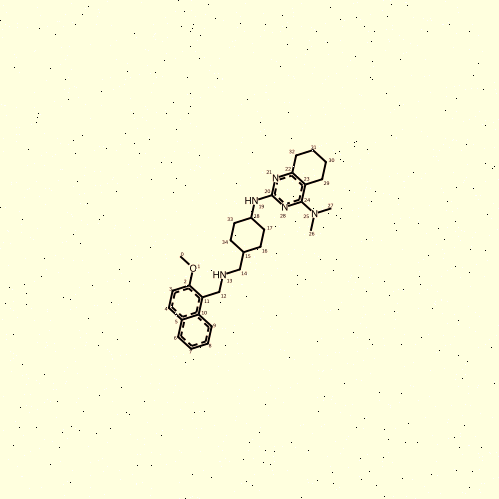 COc1ccc2ccccc2c1CNCC1CCC(Nc2nc3c(c(N(C)C)n2)CCCC3)CC1